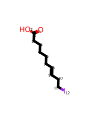 O=C(O)CCCCC/C=C/CCI